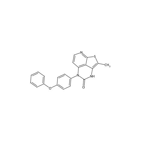 Cc1sc2nccc3c2c1NC(=O)N3c1ccc(Oc2ccccc2)cc1